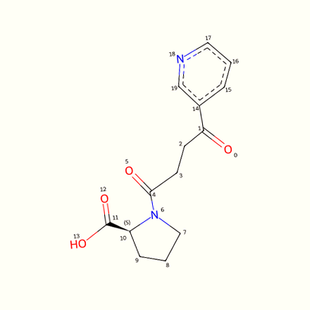 O=C(CCC(=O)N1CCC[C@H]1C(=O)O)c1cccnc1